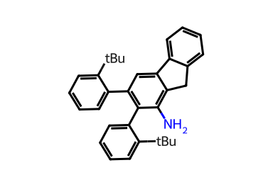 CC(C)(C)c1ccccc1-c1cc2c(c(N)c1-c1ccccc1C(C)(C)C)Cc1ccccc1-2